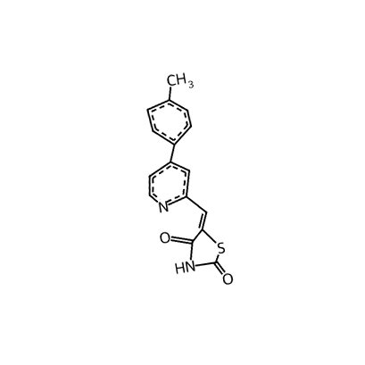 Cc1ccc(-c2ccnc(C=C3SC(=O)NC3=O)c2)cc1